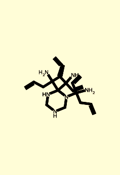 C=CCC(N)(C=C)N1CNCNC1(C(N)(C=C)CC=C)C(N)(C=C)CC=C